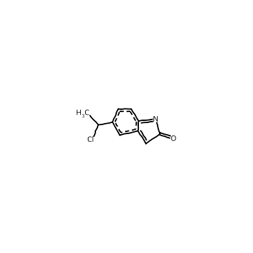 CC(Cl)c1ccc2c(c1)=CC(=O)N=2